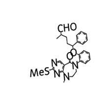 CSc1ncc2c(n1)N(C)CCN(c1ccccc1OC(CCC(C)C=O)c1ccccc1)C2=O